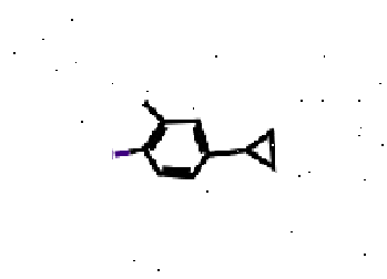 Cc1cc(C2CC2)ccc1I